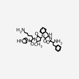 CC1CC(N2C(=O)C(NC(=O)C(N)Cc3ccccc3)Cc3ccccc32)C(=O)N1C(CCCCN)C(=O)N1CC2CC1CN2